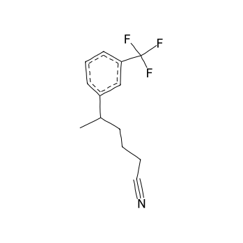 CC(CCCC#N)c1cccc(C(F)(F)F)c1